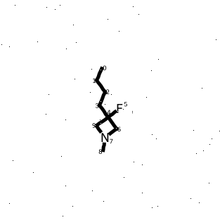 CCCCC1(F)CN(C)C1